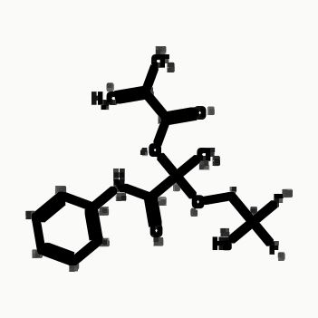 C=C(C(=O)OC(OCC(F)(F)S)(C(=O)Nc1ccccc1)C(F)(F)F)C(F)(F)F